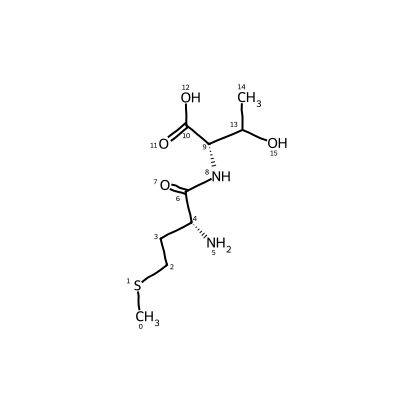 CSCC[C@@H](N)C(=O)N[C@H](C(=O)O)C(C)O